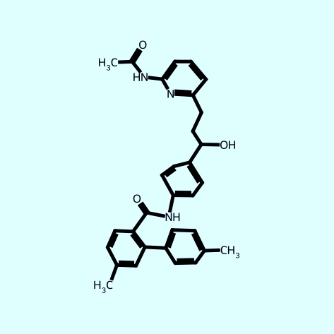 CC(=O)Nc1cccc(CCC(O)c2ccc(NC(=O)c3ccc(C)cc3-c3ccc(C)cc3)cc2)n1